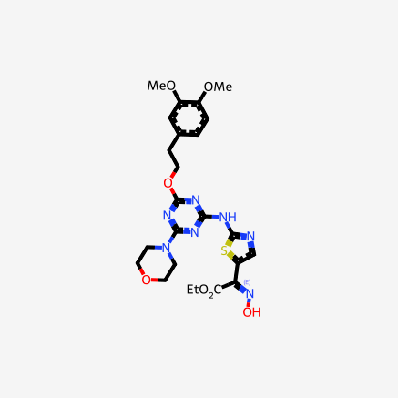 CCOC(=O)/C(=N\O)c1cnc(Nc2nc(OCCc3ccc(OC)c(OC)c3)nc(N3CCOCC3)n2)s1